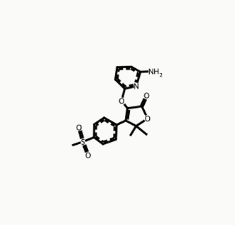 CC1(C)OC(=O)C(Oc2cccc(N)n2)=C1c1ccc(S(C)(=O)=O)cc1